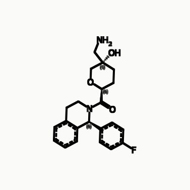 NC[C@@]1(O)CC[C@@H](C(=O)N2CCc3ccccc3[C@@H]2c2ccc(F)cc2)OC1